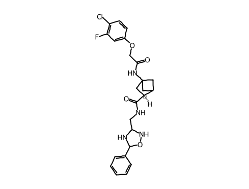 O=C(COc1ccc(Cl)c(F)c1)NC12CC(C1)[C@@H](C(=O)NCC1NOC(c3ccccc3)N1)C2